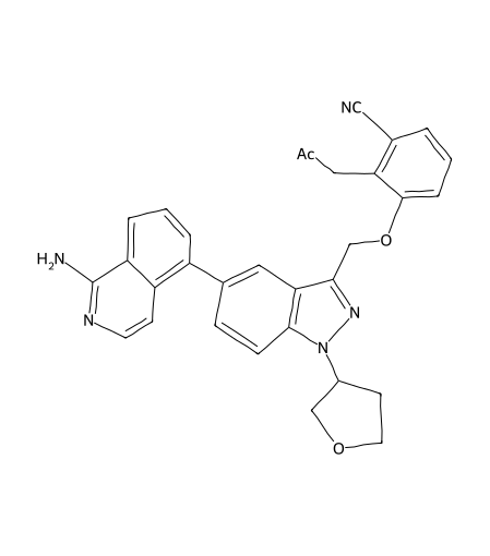 CC(=O)Cc1c(C#N)cccc1OCc1nn(C2CCOC2)c2ccc(-c3cccc4c(N)nccc34)cc12